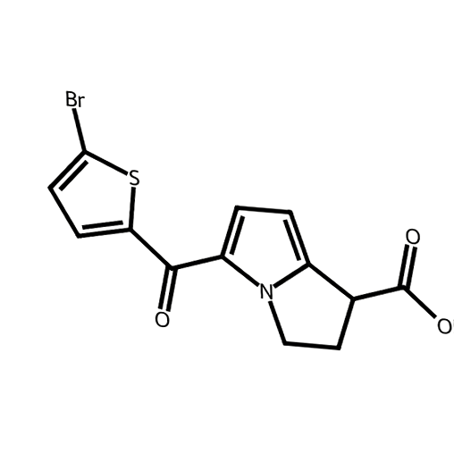 O=C(c1ccc(Br)s1)c1ccc2n1CCC2C(=O)O